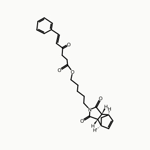 O=C(/C=C/c1ccccc1)CCC(=O)OCCCCCN1C(=O)[C@@H]2[C@H](C1=O)[C@H]1C=C[C@@H]2C1